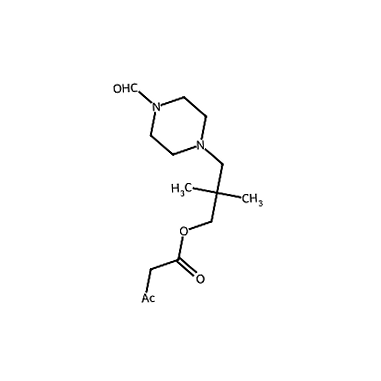 CC(=O)CC(=O)OCC(C)(C)CN1CCN(C=O)CC1